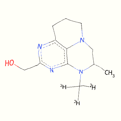 [2H]C([2H])([2H])N1c2nc(CO)nc3c2N(CCC3)CC1C